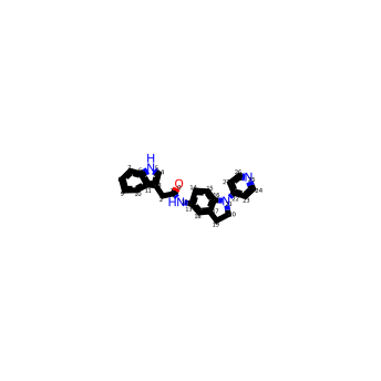 O=C(Cc1c[nH]c2ccccc12)Nc1ccc2c(c1)CCN2c1ccncc1